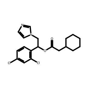 O=C(CC1CCCCC1)OC(Cn1ccnc1)c1ccc(Cl)cc1Cl